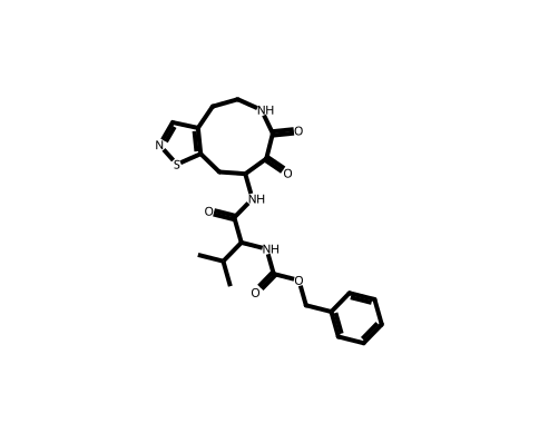 CC(C)C(NC(=O)OCc1ccccc1)C(=O)NC1Cc2sncc2CCNC(=O)C1=O